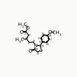 COC(=O)CC(C)CCN1C(=O)CSC1c1ccc(OC)cc1